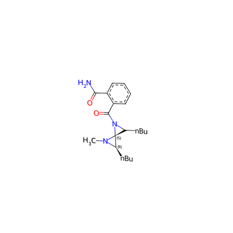 CCCCC1N(C(=O)c2ccccc2C(N)=O)[C@@]12[C@@H](CCCC)N2C